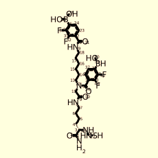 NC(=O)[C@H](CCCCNC(=O)CN(CCCCCCNC(=O)c1ccc(B(O)O)c(F)c1F)C(=O)c1ccc(BO)c(F)c1F)NNS